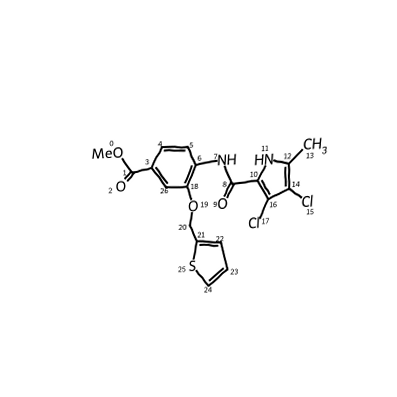 COC(=O)c1ccc(NC(=O)c2[nH]c(C)c(Cl)c2Cl)c(OCc2cccs2)c1